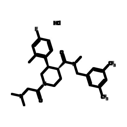 Cc1cc(F)ccc1[C@@H]1CN(C(=O)CN(C)C)CC[C@H]1C(=O)N(C)Cc1cc(C(F)(F)F)cc(C(F)(F)F)c1.Cl